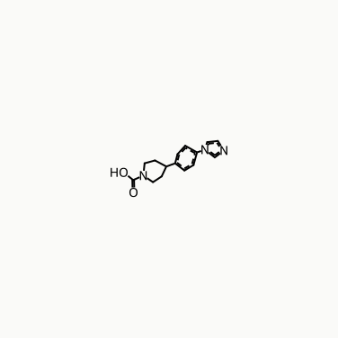 O=C(O)N1CCC(c2ccc(-n3ccnc3)cc2)CC1